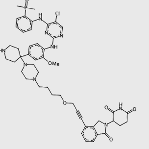 COc1cc(C2(N3CCN(CCCCOCC#Cc4cccc5c4CN(C4CCC(=O)NC4=O)C5=O)CC3)CCNCC2)ccc1Nc1ncc(Cl)c(Nc2ccccc2P(C)(C)=O)n1